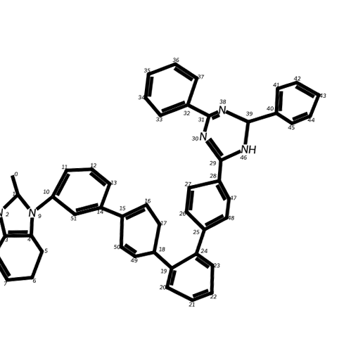 CC1NC2=C(CCC=C2)N1c1cccc(C2=CCC(c3ccccc3-c3ccc(C4=NC(c5ccccc5)=NC(c5ccccc5)N4)cc3)C=C2)c1